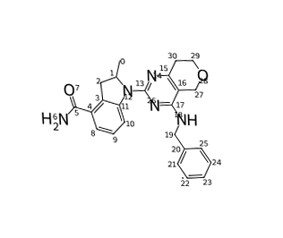 CC1Cc2c(C(N)=O)cccc2N1c1nc2c(c(NCc3c[c]ccc3)n1)COCC2